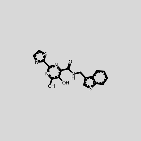 O=C(NCc1csc2ccccc12)c1nc(-c2nccs2)nc(O)c1O